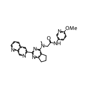 COc1ccc(NC(=O)CN(C)c2nc(-c3cc4cccnc4cn3)nc3c2CCC3)cn1